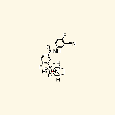 N#Cc1cc(NC(=O)c2ccc(F)c(C(F)(F)C(=O)N3[C@@H]4CC[C@H]3C[C@H](O)C4)c2)ccc1F